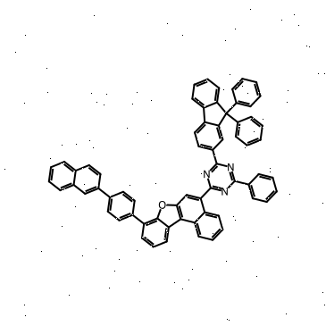 c1ccc(-c2nc(-c3ccc4c(c3)C(c3ccccc3)(c3ccccc3)c3ccccc3-4)nc(-c3cc4oc5c(-c6ccc(-c7ccc8ccccc8c7)cc6)cccc5c4c4ccccc34)n2)cc1